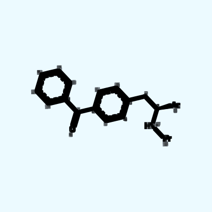 CC(=O)[C@H](Cc1ccc(C(=O)c2ccccc2)cc1)NC(C)C